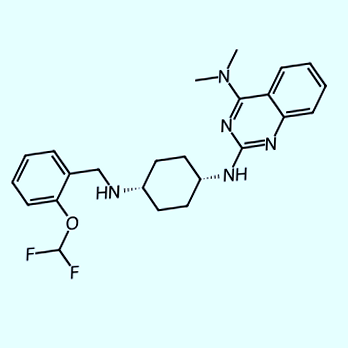 CN(C)c1nc(N[C@H]2CC[C@@H](NCc3ccccc3OC(F)F)CC2)nc2ccccc12